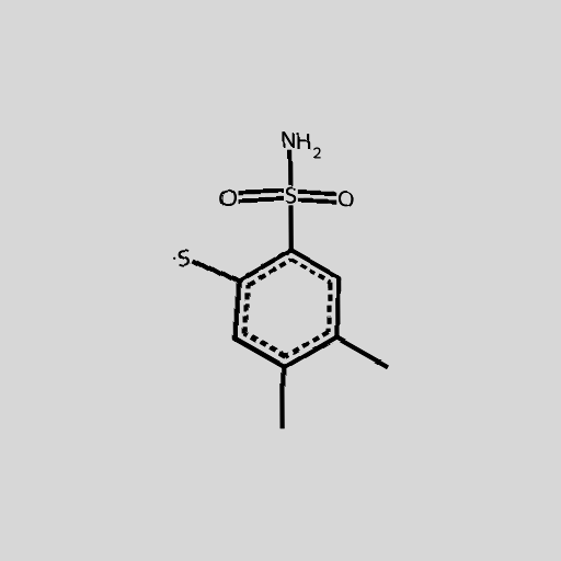 Cc1cc([S])c(S(N)(=O)=O)cc1C